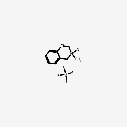 C[N+]1([O-])C[CH+]c2ccccc2C1.F[B-](F)(F)F